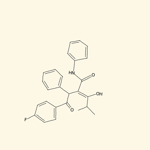 CC(C)/C(O)=C(/C(=O)Nc1ccccc1)C(C(=O)c1ccc(F)cc1)c1ccccc1